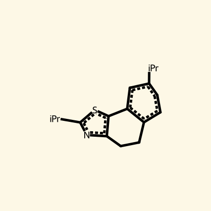 CC(C)c1ccc2c(c1)-c1sc(C(C)C)nc1CC2